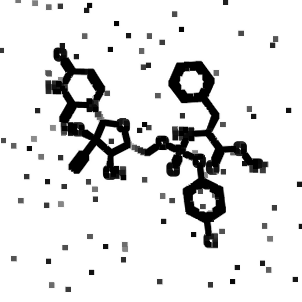 C#C[C@@]1(O)[C@H](O)[C@@H](COP(=O)(N[C@@H](Cc2ccccc2)C(=O)OC(C)C)Oc2ccc(Cl)cc2)O[C@H]1N1C=CC(=O)NC1=C